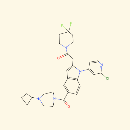 O=C(Cc1cc2cc(C(=O)N3CCN(C4CCC4)CC3)ccc2n1-c1ccnc(Cl)c1)N1CCC(F)(F)CC1